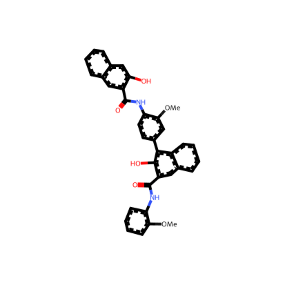 COc1cc(-c2c(O)c(C(=O)Nc3ccccc3OC)cc3ccccc23)ccc1NC(=O)c1cc2ccccc2cc1O